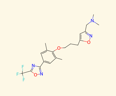 Cc1cc(-c2noc(C(F)(F)F)n2)cc(C)c1OCCCc1cc(CN(C)C)no1